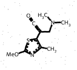 COc1nc(C)c(C(=C=O)CN(C)C)s1